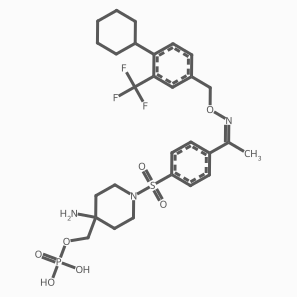 CC(=NOCc1ccc(C2CCCCC2)c(C(F)(F)F)c1)c1ccc(S(=O)(=O)N2CCC(N)(COP(=O)(O)O)CC2)cc1